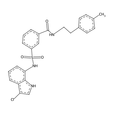 Cc1ccc(CCNC(=O)c2cccc(S(=O)(=O)Nc3cccc4c(Cl)c[nH]c34)c2)cc1